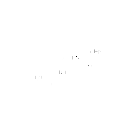 CCCCCCCC(=O)NCC(=O)NCC(N)=O